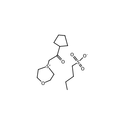 CCCCS(=O)(=O)[O-].O=C(C[S+]1CCOCC1)C1CCCC1